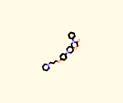 O=C1COC2(CCN(c3ccc(OCCCN4CCCCC4)cc3)CC2)CN1c1ccccc1